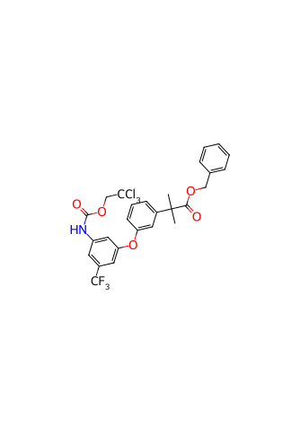 CC(C)(C(=O)OCc1ccccc1)c1cccc(Oc2cc(NC(=O)OCC(Cl)(Cl)Cl)cc(C(F)(F)F)c2)c1